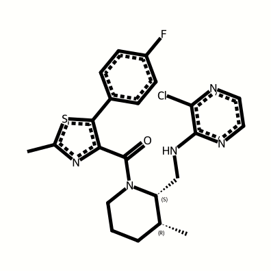 Cc1nc(C(=O)N2CCC[C@@H](C)[C@H]2CNc2nccnc2Cl)c(-c2ccc(F)cc2)s1